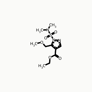 CCOC(=O)c1cnn(S(=O)(=O)N(C)C)c1COC